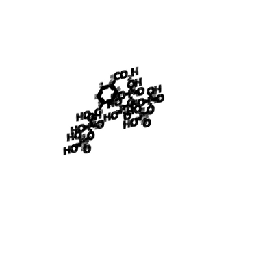 O=C(O)c1ccc(C(=O)O)cc1.O=P(O)(O)OP(=O)(O)O.O=P(O)(O)OP(=O)(O)O.O=P(O)(O)OP(=O)(O)O